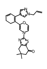 C=CCn1cc(C2=C(C3=CN(c4nc5c(s4)C(=O)CC(C)(C)C5)C=CO3)CCC=C2)cn1